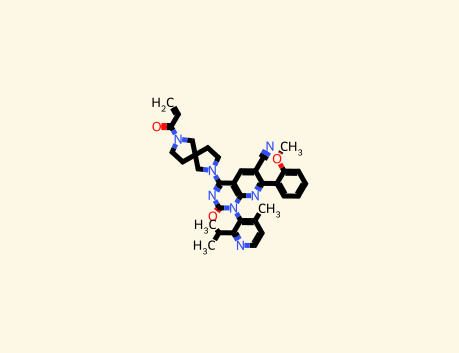 C=CC(=O)N1CCC2(CCN(c3nc(=O)n(-c4c(C)ccnc4C(C)C)c4nc(-c5ccccc5OC)c(C#N)cc34)C2)C1